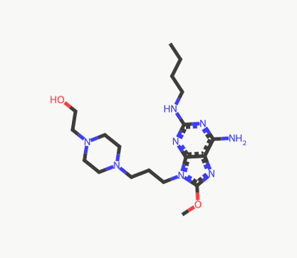 CCCCNc1nc(N)c2nc(OC)n(CCCN3CCN(CCO)CC3)c2n1